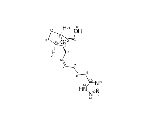 OC[C@H]1[C@@H](C/C=C\CCCc2nnn[nH]2)[C@H]2CC[C@@H]1O2